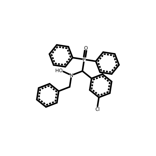 O=P(c1ccccc1)(c1ccccc1)C(c1cccc(Cl)c1)N(O)Cc1ccccc1